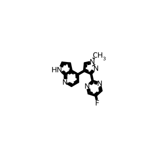 Cn1cc(-c2ccnc3[nH]ccc23)c(-c2ncc(F)cn2)n1